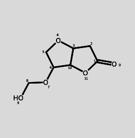 O=C1CC2OCC(OCO)C2O1